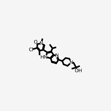 Cc1c(-c2[nH]c3ccc(C4CCN(CC(C)(C)O)CC4)nc3c2C(C)C)cn(C)c(=O)c1Cl